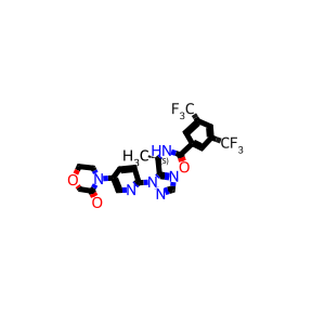 C[C@H](NC(=O)c1cc(C(F)(F)F)cc(C(F)(F)F)c1)c1ncnn1-c1ccc(N2CCOCC2=O)cn1